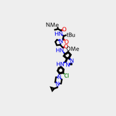 CNC(C)C(=O)NC(C(=O)N1CCCC1C(=O)Nc1cc2c(Nc3ccc(N4CCN(CC5CC5)CC4)c(Cl)c3)ncnc2cc1OC)C(C)(C)C